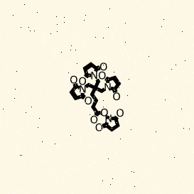 O=C(CCCC(CN1C(=O)C=CC1=O)(CN1C(=O)C=CC1=O)CN1C(=O)C=CC1=O)ON1C(=O)CCC1=O